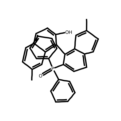 Cc1ccc2ccc(O)c(-c3c(P(=O)(c4ccccc4)c4ccccc4)ccc4ccc(C)cc34)c2c1